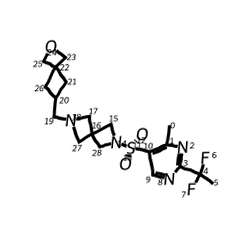 Cc1nc(C(C)(F)F)ncc1S(=O)(=O)N1CC2(CN(CC3CC4(COC4)C3)C2)C1